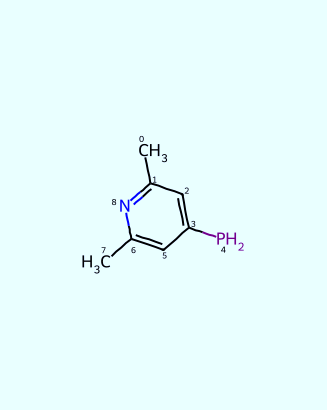 Cc1cc(P)cc(C)n1